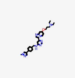 CCN(CC)CCCOc1ccn2c(-c3cc(NCc4ccc(-c5cnn(C)c5)cc4)ncn3)cnc2c1